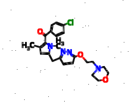 Cc1cc(Cc2ccc(OCCN3CCOCC3)nn2)n(C)c1C(=O)c1ccc(Cl)cc1